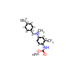 CCCOC(=O)Nc1ccc(N(C)Cc2ccc(C(C)(C)C)cc2)cc1C(F)(F)F